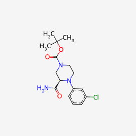 CC(C)(C)OC(=O)N1CCN(c2cccc(Cl)c2)[C@@H](C(N)=O)C1